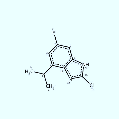 CC(C)c1cc(F)cc2[nH]c(Cl)nc12